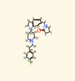 O=C1CCCN1Cc1ccc2c(c1)N(C1CCN(CCc3ccc(F)cc3)CC1)CC2